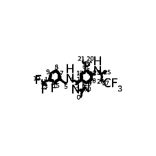 Cc1nc(NCc2cccc(C(F)F)c2F)c2cc(P(C)C)c(NC(C)CC(F)(F)F)cc2n1